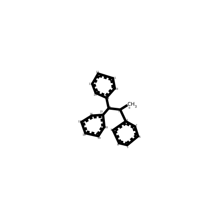 CC(c1ccccc1)C(c1ccccc1)c1ccccc1